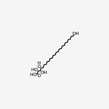 O=C(O)C(O)C(O)C(O)CCCCCCCCCCCCCCCCCCCCCO